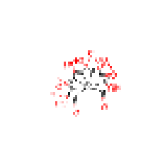 O=[C](O)[Co]([C](=O)O)([C](=O)O)([C](=O)O)([C](=O)O)([C](=O)O)([C](=O)O)[C](=O)O